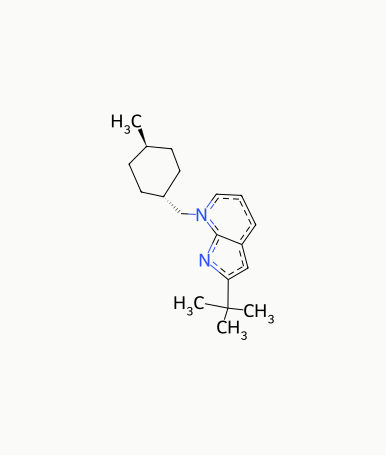 CC(C)(C)c1cc2cccn(C[C@H]3CC[C@H](C)CC3)c-2n1